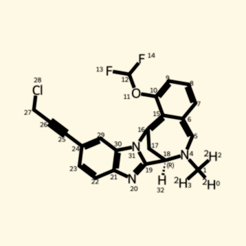 [2H]C([2H])([2H])N1C=c2cccc(OC(F)F)c2=C2C[C@@H]1c1nc3ccc(C#CCCl)cc3n12